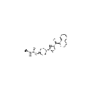 CCCNC(=O)ON1CCC(c2nc(C(=O)N3CCCC4CCCC=C43)cs2)CC1